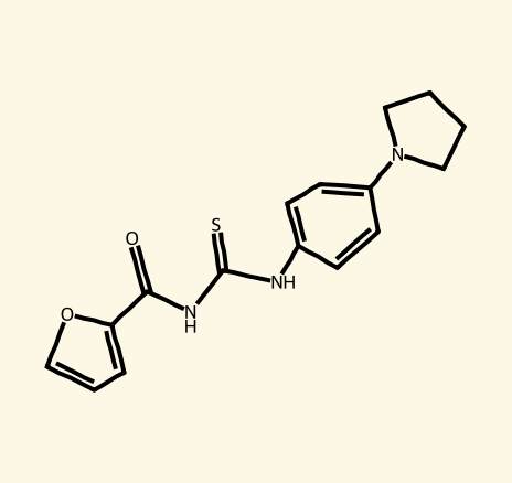 O=C(NC(=S)Nc1ccc(N2CCCC2)cc1)c1ccco1